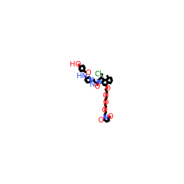 Cc1cccc2c(OCCOCCOCCOCCN3C(=O)C=CC3=O)cc3c(c12)[C@H](CCl)CN3C(=O)c1cn2cc(NC(=O)c3ccc(O)cc3)ccc2n1